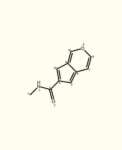 CNC(=O)c1[c]c2ccocc-2c1